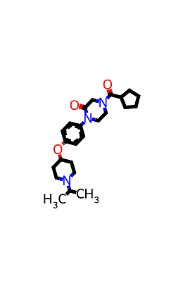 CC(C)N1CCC(Oc2ccc(N3CCN(C(=O)C4CCCC4)CC3=O)cc2)CC1